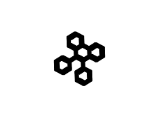 c1ccc(-c2c(-c3ccccc3)c3ccccc3c3ccccc23)cc1